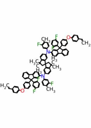 C=Cc1ccc(Oc2ccc(C3(c4cc(F)ccc4F)c4ccccc4-c4ccc(N(c5ccc(C)c(F)c5)c5ccc6c(c5)C5(CC6(C)C)CC(C)(C)c6ccc(N(c7ccc(C)c(F)c7)c7ccc8c(c7)C(c7ccc(Oc9ccc(C=C)cc9)cc7)(c7cc(F)ccc7F)c7ccccc7-8)cc65)cc43)cc2)cc1